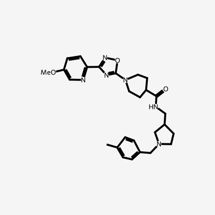 COc1ccc(-c2noc(N3CCC(C(=O)NCC4CCN(Cc5ccc(C)cc5)C4)CC3)n2)nc1